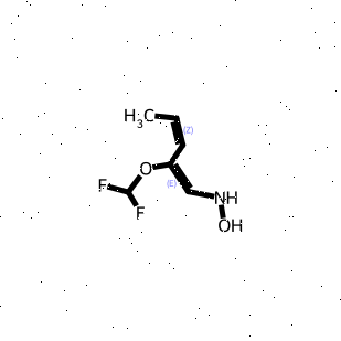 C/C=C\C(=C/NO)OC(F)F